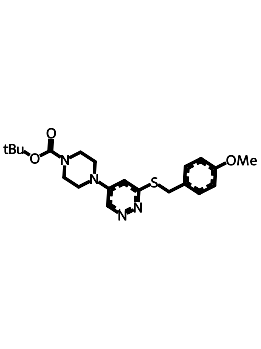 COc1ccc(CSc2cc(N3CCN(C(=O)OC(C)(C)C)CC3)cnn2)cc1